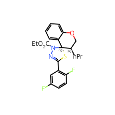 CCC[C@@H]1COc2ccccc2[C@@]12SC(c1cc(F)ccc1F)=NN2C(=O)OCC